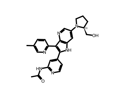 CC(=O)Nc1cc(-c2[nH]c3cc(N4CCC[C@H]4CO)cnc3c2-c2ccc(C)cn2)ccn1